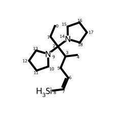 CCC(C(C)C/C=C\[SiH3])(N1CCCC1)N1CCCC1